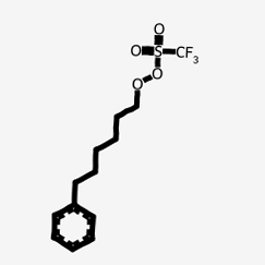 O=S(=O)(OOCCCCCCc1ccccc1)C(F)(F)F